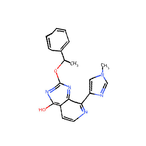 CC(Oc1nc(O)c2ccnc(-c3cn(C)cn3)c2n1)c1ccccc1